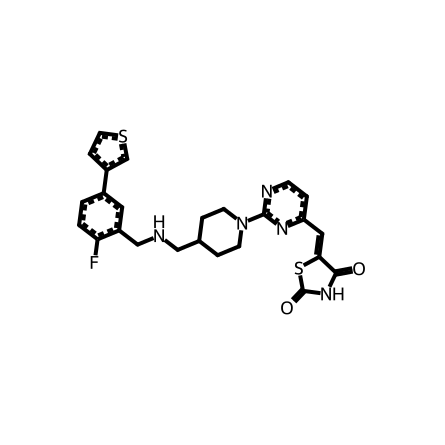 O=C1NC(=O)C(=Cc2ccnc(N3CCC(CNCc4cc(-c5ccsc5)ccc4F)CC3)n2)S1